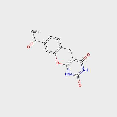 COC(=O)c1ccc2c(c1)Oc1[nH]c(=O)[nH]c(=O)c1C2